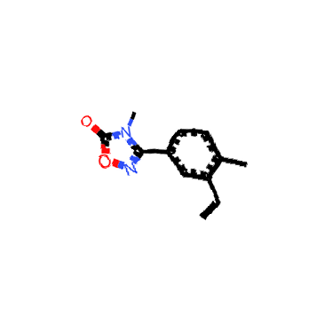 C=Cc1cc(-c2noc(=O)n2C)ccc1C